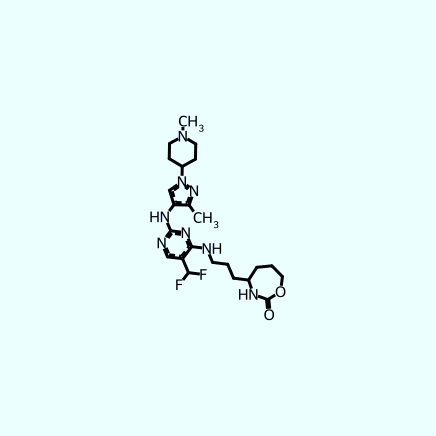 Cc1nn(C2CCN(C)CC2)cc1Nc1ncc(C(F)F)c(NCCCC2CCCOC(=O)N2)n1